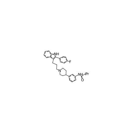 CC(C)C(=O)Nc1cccc(C2CCN(CCCc3c(-c4ccc(F)cc4)[nH]c4ccccc34)CC2)c1